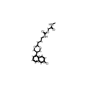 CNC(=O)COC(=O)NCCCC1OCC(c2cccc3cc(Cl)ccc23)CO1